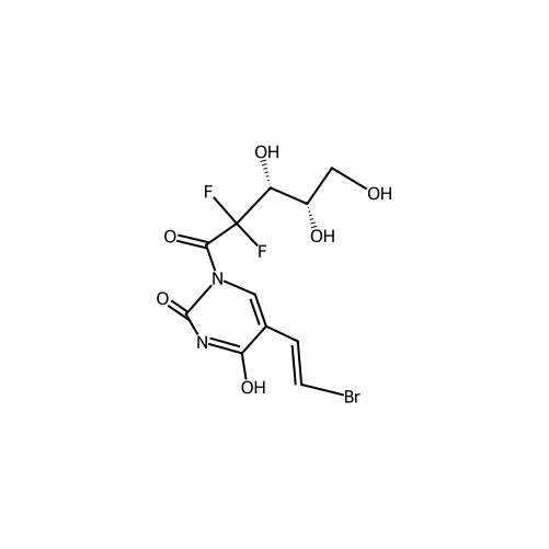 O=C(n1cc(/C=C/Br)c(O)nc1=O)C(F)(F)[C@H](O)[C@@H](O)CO